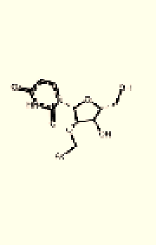 CC(=O)CO[C@@H]1[C@H](O)[C@@H](CO)O[C@H]1n1ccc(=O)[nH]c1=O